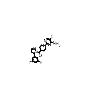 Nc1nc(N2CCC(C(=O)N3N=CCC3c3cc(F)cc(F)c3)CC2)ncc1F